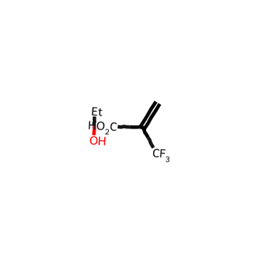 C=C(C(=O)O)C(F)(F)F.CCO